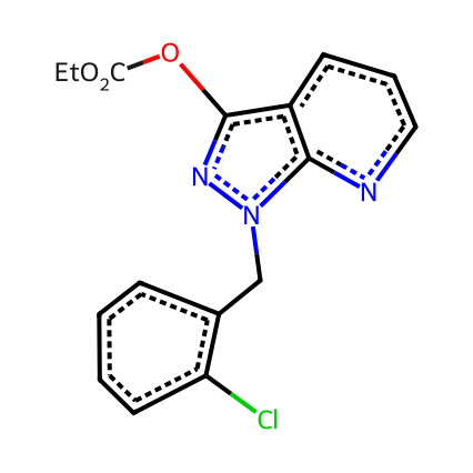 CCOC(=O)Oc1nn(Cc2ccccc2Cl)c2ncccc12